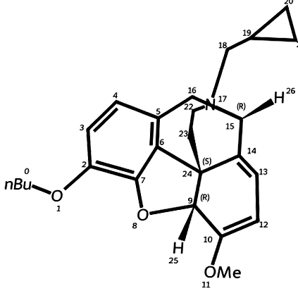 CCCCOc1ccc2c3c1O[C@H]1C(OC)=CC=C4[C@@H](C2)N(CC2CC2)CC[C@]431